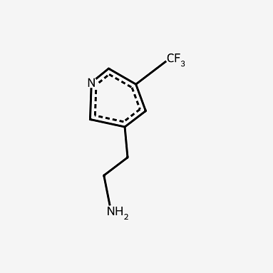 NCCc1cncc(C(F)(F)F)c1